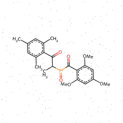 COc1cc(OC)c(C(=O)[P](=O)C(C)C(=O)c2c(C)cc(C)cc2C)c(OC)c1